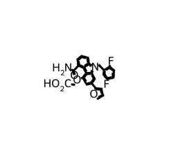 NC(=O)c1cccc2c1c1c(OCC(=O)O)cc(-c3ccco3)cc1n2Cc1cc(F)ccc1F